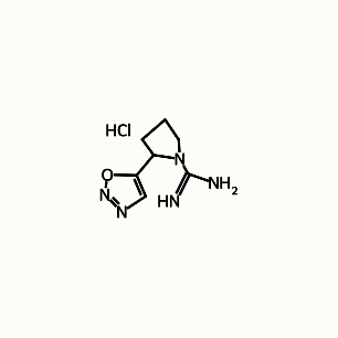 Cl.N=C(N)N1CCCC1c1cnno1